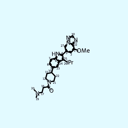 COc1cc(-c2[nH]c3ccc(C4CCN(C(=O)CCN(C)C)CC4)cc3c2C(C)C)cn2ncnc12